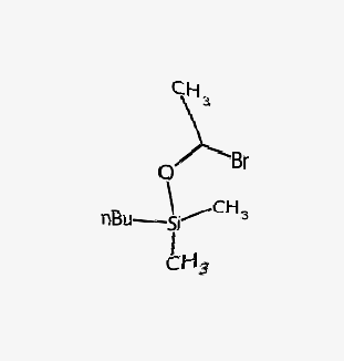 CCCC[Si](C)(C)OC(C)Br